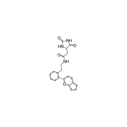 O=C(CC1NC(=O)NC1=O)NCCc1ccccc1-c1ccc2cccc-2o1